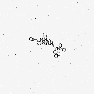 CN(CC(CCN1CCC(Nc2nc3c(Cc4ccoc4)cccc3[nH]2)CC1)c1ccc(Cl)c(Cl)c1)C(=O)c1ccccc1